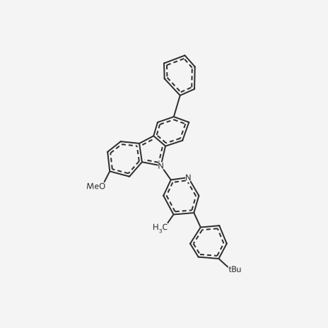 COc1ccc2c3cc(-c4ccccc4)ccc3n(-c3cc(C)c(-c4ccc(C(C)(C)C)cc4)cn3)c2c1